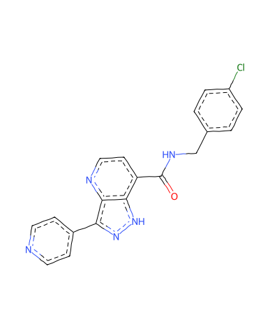 O=C(NCc1ccc(Cl)cc1)c1ccnc2c(-c3ccncc3)n[nH]c12